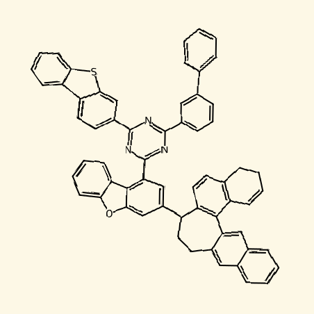 C1=Cc2c(ccc3c2-c2cc4ccccc4cc2CCC3c2cc(-c3nc(-c4cccc(-c5ccccc5)c4)nc(-c4ccc5c(c4)sc4ccccc45)n3)c3c(c2)oc2ccccc23)CC1